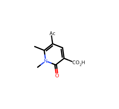 CC(=O)c1cc(C(=O)O)c(=O)n(C)c1C